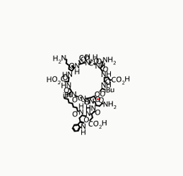 CCC(C)CCCCCCC(=O)NC(Cc1c[nH]c2ccccc12)C(=O)NC(CCC(=O)O)C(=O)NC(CC(N)=O)C(=O)NC1C(=O)N(C)CC(=O)NC(C)C(=O)NC(CC(=O)O)C(=O)NC(CCCCN)C(=O)NC(CC(=O)O)C(=O)NCC(=O)NC(CC(N)=O)C(=O)NC(CCC(=O)O)C(=O)NC(C(C)CC)C(=O)OC1C